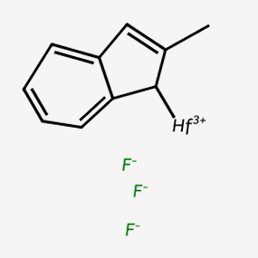 CC1=Cc2ccccc2[CH]1[Hf+3].[F-].[F-].[F-]